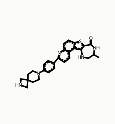 CC1CNc2c(sc3ccc4nc(-c5ccc(N6CCC7(CC6)CNC7)cc5)ccc4c23)C(=O)N1